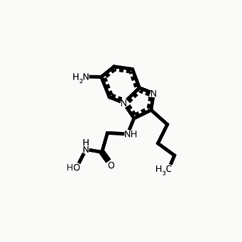 CCCCc1nc2ccc(N)cn2c1NCC(=O)NO